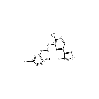 Cc1n[nH]cc1-c1cnc(N)c(OCCc2cc(F)ccc2Cl)c1